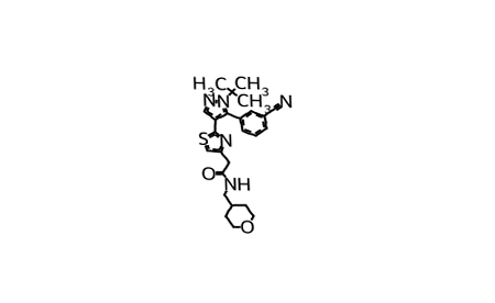 CC(C)(C)n1ncc(-c2nc(CC(=O)NCC3CCOCC3)cs2)c1-c1cccc(C#N)c1